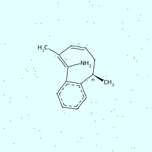 CC1=C(/N)c2ccccc2[C@H](C)C/C=C\1